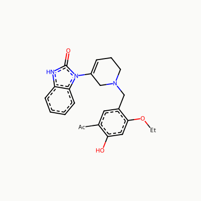 CCOc1cc(O)c(C(C)=O)cc1CN1CCC=C(n2c(=O)[nH]c3ccccc32)C1